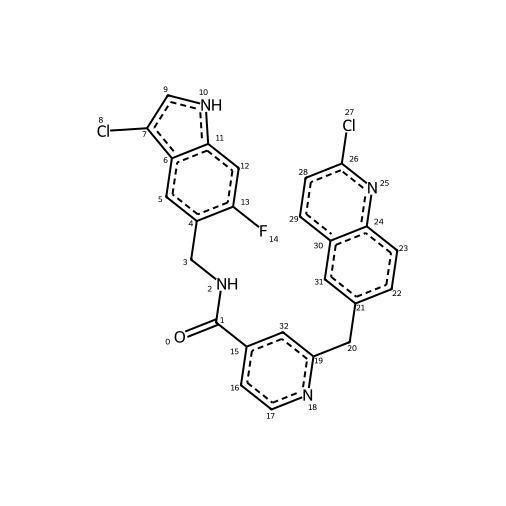 O=C(NCc1cc2c(Cl)c[nH]c2cc1F)c1ccnc(Cc2ccc3nc(Cl)ccc3c2)c1